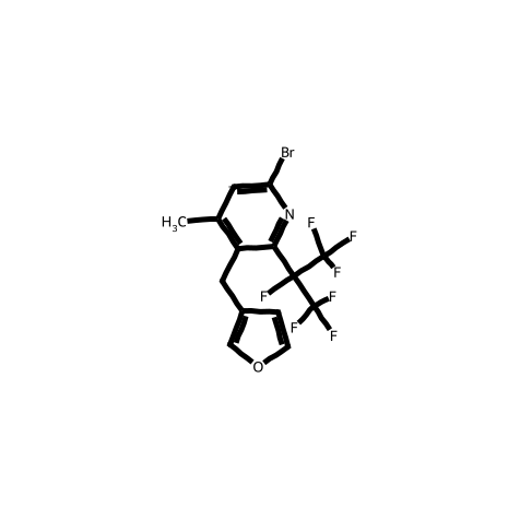 Cc1[c]c(Br)nc(C(F)(C(F)(F)F)C(F)(F)F)c1Cc1ccoc1